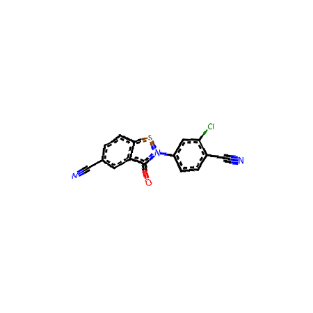 N#Cc1ccc2sn(-c3ccc(C#N)c(Cl)c3)c(=O)c2c1